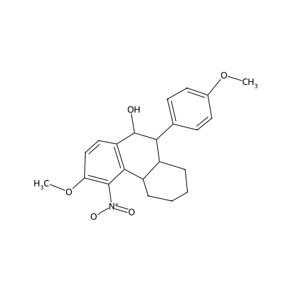 COc1ccc(C2C(O)c3ccc(OC)c([N+](=O)[O-])c3C3CCCCC32)cc1